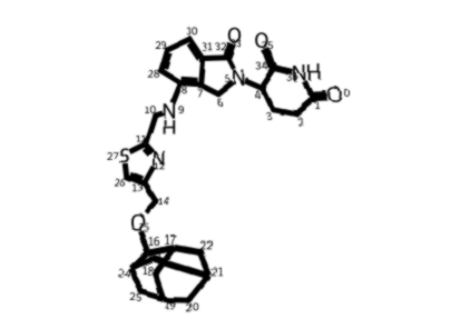 O=C1CCC(N2Cc3c(NCc4nc(COC5C6CC7CC(C6)CC5C7)cs4)cccc3C2=O)C(=O)N1